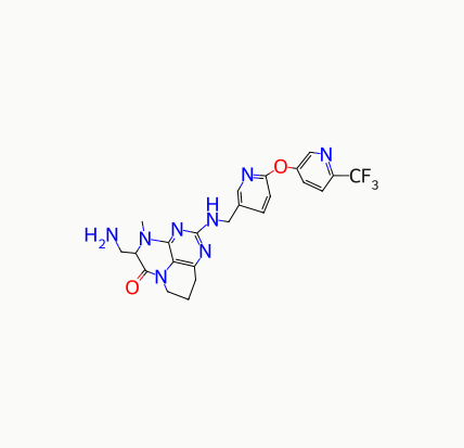 CN1c2nc(NCc3ccc(Oc4ccc(C(F)(F)F)nc4)nc3)nc3c2N(CCC3)C(=O)C1CN